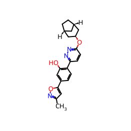 Cc1cc(-c2ccc(-c3ccc(O[C@H]4C[C@@H]5CC[C@@H](C5)C4)nn3)c(O)c2)on1